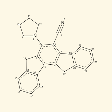 N#Cc1c2c(c3c(c1N1CCCC1)Cc1ccccc1-3)Cc1ccccc1-2